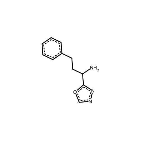 NC(CCc1ccccc1)c1nn[c]o1